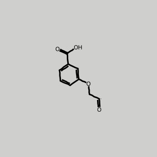 O=[C]COc1cccc(C(=O)O)c1